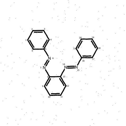 [c]1ccccc1/N=N/c1ccccc1/N=N/c1ccccc1